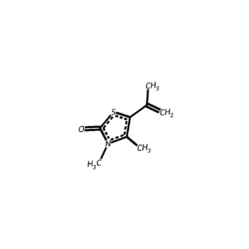 C=C(C)c1sc(=O)n(C)c1C